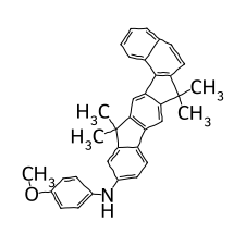 COc1ccc(Nc2ccc3c(c2)C(C)(C)c2cc4c(cc2-3)C(C)(C)c2ccc3ccccc3c2-4)cc1